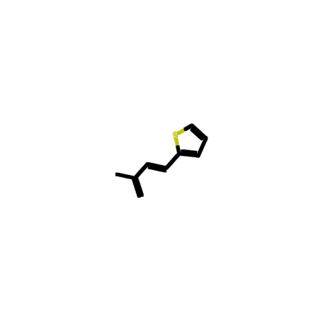 C=C(C)/C=C/c1cccs1